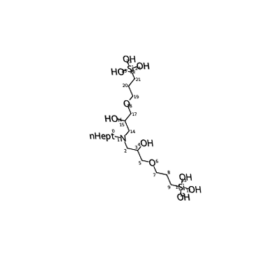 CCCCCCCN(CC(O)COCCC[Si](O)(O)O)CC(O)COCCC[Si](O)(O)O